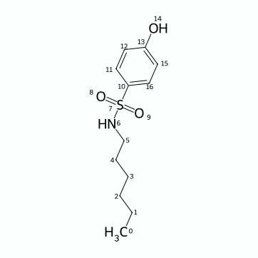 CCCCCCNS(=O)(=O)c1ccc(O)cc1